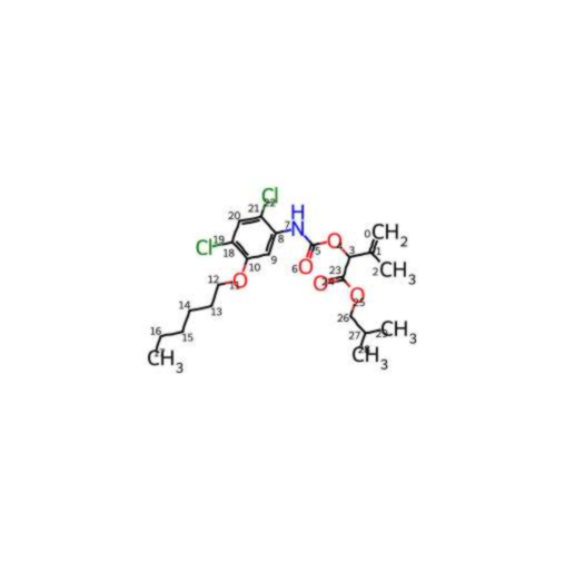 C=C(C)C(OC(=O)Nc1cc(OCCCCCC)c(Cl)cc1Cl)C(=O)OCC(C)C